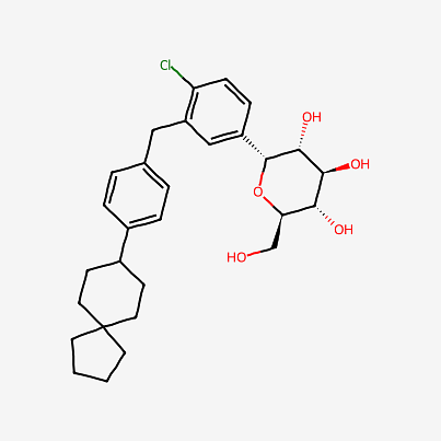 OC[C@H]1O[C@H](c2ccc(Cl)c(Cc3ccc(C4CCC5(CCCC5)CC4)cc3)c2)[C@H](O)[C@@H](O)[C@@H]1O